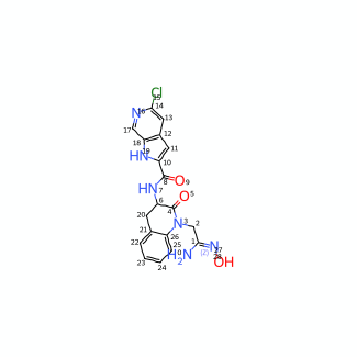 N/C(CN1C(=O)C(NC(=O)c2cc3cc(Cl)ncc3[nH]2)Cc2ccccc21)=N\O